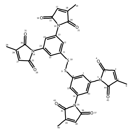 CC1=CC(=O)N(c2cc(SSc3cc(N4C(=O)C=C(C)C4=O)cc(N4C(=O)C=C(C)C4=O)c3)cc(N3C(=O)C=C(C)C3=O)c2)C1=O